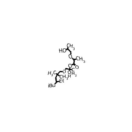 CCC(C)C(CC)CC(C)(C)COCC(C)(O)OC(=O)C(C)OCC(C)O